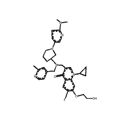 Cc1cc(CN(Cc2cn(C3CC3)c3cc(OCCO)c(F)cc3c2=O)C2CCCN(c3ccc(N(C)C)nc3)C2)ccn1